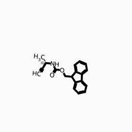 C#C[C@H](C)NC(=O)OCC1c2ccccc2-c2ccccc21